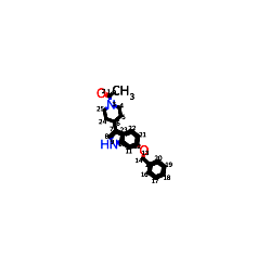 CC(=O)N1CCC(c2c[nH]c3cc(OCc4ccccc4)ccc23)CC1